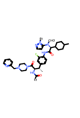 CCC(=O)N[C@@H](C(=O)N1CCN(Cc2ccccn2)CC1)[C@@H](C)c1ccc(NC(=O)[C@H](C2CCC(C)CC2)N(C=O)c2ccnn2CC)c(F)c1